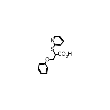 O=C(O)C(COc1ccccc1)Sc1ccccn1